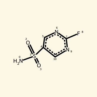 NS(=O)(=O)c1[c]nc(F)nc1